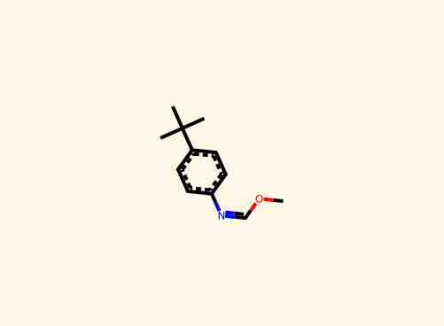 CO/C=N\c1ccc(C(C)(C)C)cc1